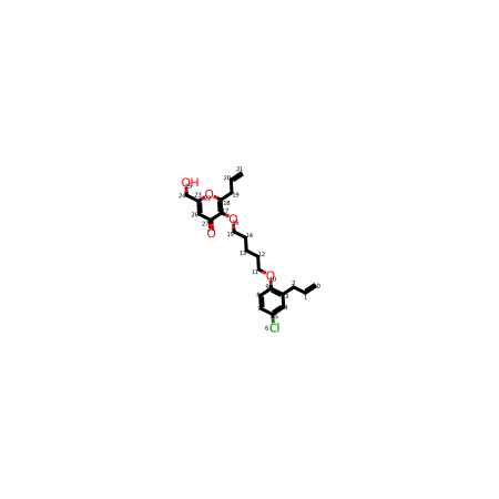 C=CCc1cc(Cl)ccc1OCCCCCOc1c(CC=C)oc(CO)cc1=O